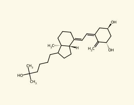 C=C1/C(=C\C=C2/CCC[C@]3(C)C(CCCCC(C)(C)O)CC[C@@H]23)C[C@@H](O)C[C@@H]1O